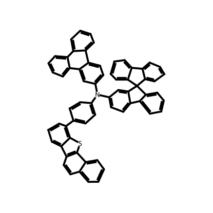 c1ccc2c(c1)-c1ccccc1C21c2ccccc2-c2ccc(N(c3ccc(-c4cccc5c4sc4c6ccccc6ccc54)cc3)c3ccc4c5ccccc5c5ccccc5c4c3)cc21